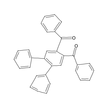 O=C(c1ccccc1)c1cc(-c2ccccc2)c(-c2ccccc2)cc1C(=O)c1ccccc1